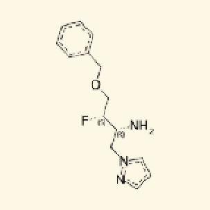 N[C@H](Cn1cccn1)[C@H](F)COCc1ccccc1